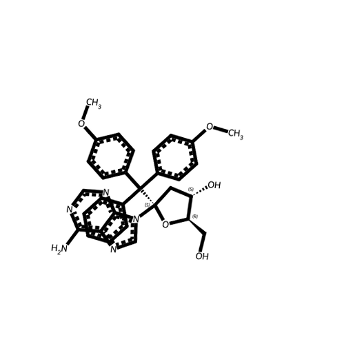 COc1ccc(C(c2ccccc2)(c2ccc(OC)cc2)[C@]2(n3cnc4c(N)ncnc43)C[C@H](O)[C@@H](CO)O2)cc1